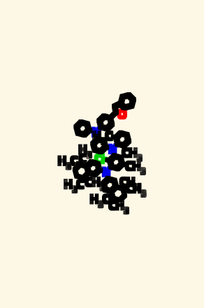 Cc1cc(N(c2ccc3c(c2)C(C)(C)CCC3(C)C)c2ccc3c(c2)C(C)(C)CCC3(C)C)c(Cl)c(N(c2cccc(N(c3ccccc3)c3ccc(-c4cc5ccccc5o4)cc3)c2)c2c(C)cccc2C)c1